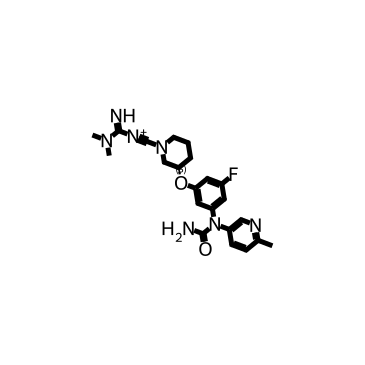 Cc1ccc(N(C(N)=O)c2cc(F)cc(O[C@H]3CCCN(C#[N+]C(=N)N(C)C)C3)c2)cn1